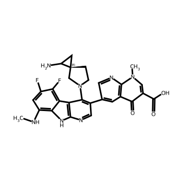 CNc1cc(F)c(F)c2c1[nH]c1ncc(-c3cnc4c(c3)c(=O)c(C(=O)O)cn4C)c(N3CC[C@@]4(CC4N)C3)c12